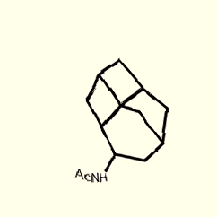 CC(=O)NC12CC3CC4CC(C1)C4(C3)C2